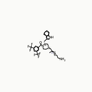 C/C(CN1CCN(C(=O)c2cc(C(F)(F)F)cc(C(F)(F)F)c2)[C@H](Cc2c[nH]c3ccccc23)C1)=N\OCCN